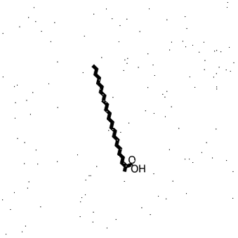 CCCCCCCCCCCCCCCCCCCCCCC=C(C)C(=O)O